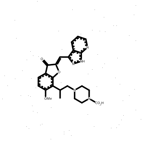 COc1ccc2c(c1C(C)CN1CCN(C(=O)O)CC1)OC(=Cc1n[nH]c3ncccc13)C2=O